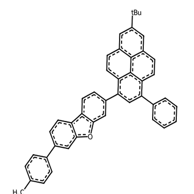 Cc1ccc(-c2ccc3c(c2)oc2cc(-c4cc(-c5ccccc5)c5ccc6cc(C(C)(C)C)cc7ccc4c5c67)ccc23)cc1